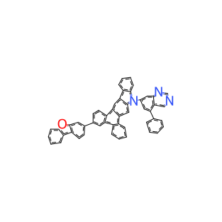 c1ccc(-c2cc(-n3c4ccccc4c4cc5c6ccc(-c7ccc8c(c7)oc7ccccc78)cc6c6ccccc6c5cc43)cc3ncncc23)cc1